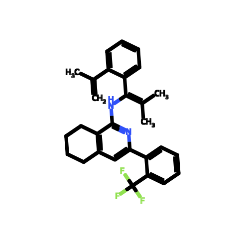 C=C(C)c1ccccc1C(Nc1nc(-c2ccccc2C(F)(F)F)cc2c1CCCC2)=C(C)C